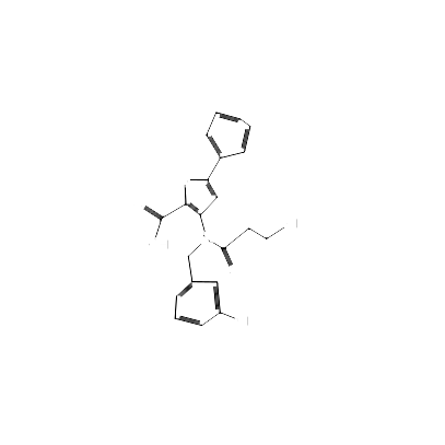 CCCC(=O)N(Cc1cccc(C)c1)c1cc(-c2ccccc2)sc1C(=O)O